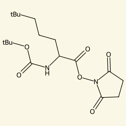 CC(C)(C)CCCC(NC(=O)OC(C)(C)C)C(=O)ON1C(=O)CCC1=O